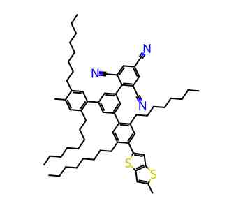 CCCCCCCCc1cc(-c2cc(-c3cc(CCCCCCCC)c(-c4cc5sc(C)cc5s4)cc3CCCCCCCC)cc(-c3c(C#N)cc(C#N)cc3C#N)c2)c(CCCCCCCC)cc1C